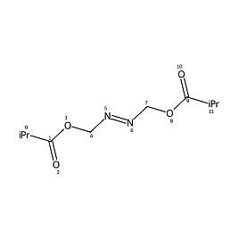 CC(C)C(=O)OC/N=N/COC(=O)C(C)C